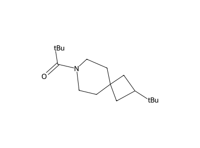 CC(C)(C)C(=O)N1CCC2(CC1)CC(C(C)(C)C)C2